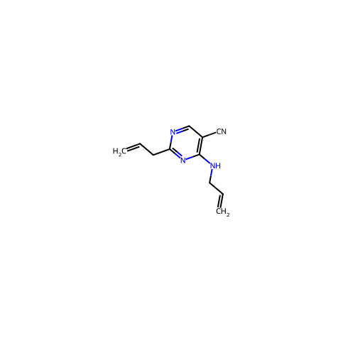 C=CCNc1nc(CC=C)ncc1C#N